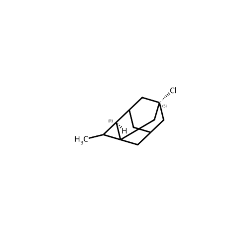 CC1[C@H]2C3CC4CC12C[C@](Cl)(C4)C3